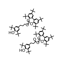 CC(C)(C)c1cc(C(C)(C)C)c2op(OC(=O)CCc3cc(C(C)(C)C)c(O)c(C(C)(C)C)c3)oc3c(C(C)(C)C)cc(C(C)(C)C)cc3c2c1.CC(C)(C)c1cc(C(C)(C)C)c2op(OCCCc3cc(C(C)(C)C)c(O)c(C(C)(C)C)c3)oc3c(C(C)(C)C)cc(C(C)(C)C)cc3c2c1